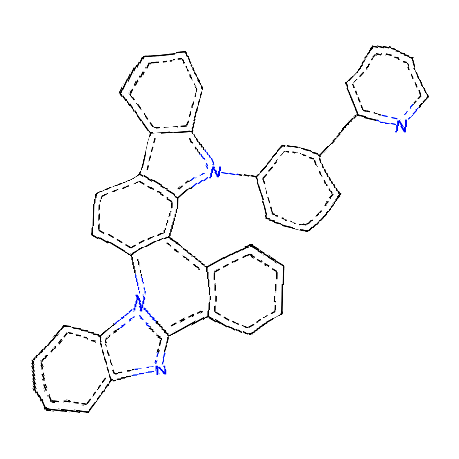 c1ccc(-c2cccc(-n3c4ccccc4c4ccc5c(c6ccccc6c6nc7ccccc7n56)c43)c2)nc1